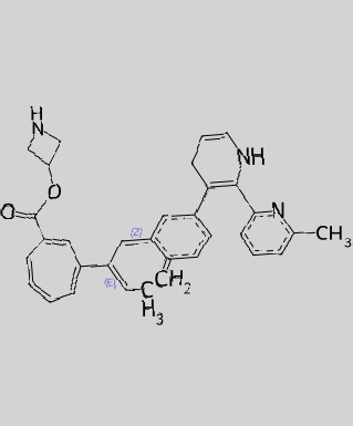 C=c1ccc(C2=C(c3cccc(C)n3)NC=CC2)c/c1=C/C(=C\C)C1=CC=C=CC(C(=O)OC2CNC2)=C1